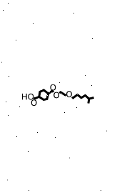 CC(C)CCCCOCCOC(=O)C1CCC(C(=O)O)CC1